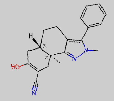 Cn1nc2c(c1-c1ccccc1)CC[C@H]1CC(O)=C(C#N)C[C@]21C